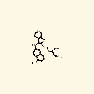 CO/C(CCCc1oc2cnccc2c1Nc1ccc2c(O)cccc2c1)=N\N